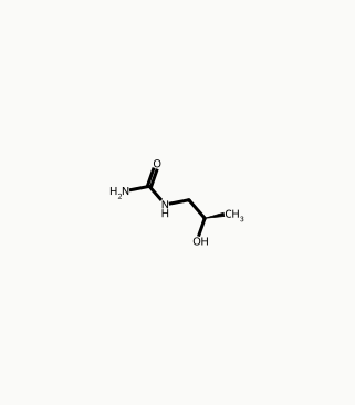 C[C@@H](O)CNC(N)=O